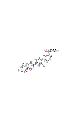 COC(=O)c1cccc([C@H]2CCN([C@@H]3CC[C@@](C(=O)O)(C4CC4)OC3)C[C@@H]2C)c1